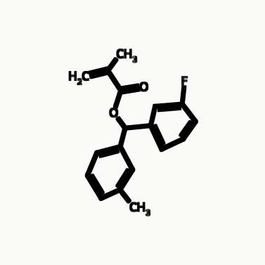 C=C(C)C(=O)OC(c1cccc(C)c1)c1cccc(F)c1